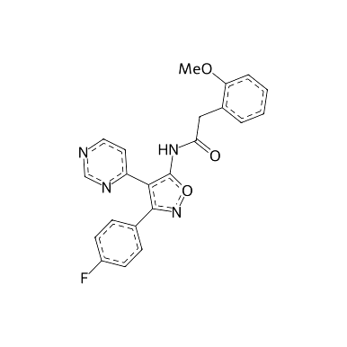 COc1ccccc1CC(=O)Nc1onc(-c2ccc(F)cc2)c1-c1ccncn1